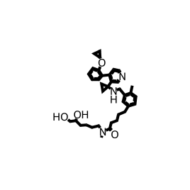 Cc1ccc(CCCCC(=O)N(C)CCCCC(O)CO)cc1CNC1(c2cnccc2-c2ccccc2OC2CC2)CC1